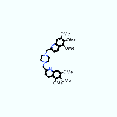 COc1cc2nc(CN3CCN(Cc4ccc5c(OC)c(OC)c(OC)cc5n4)CC3)ccc2c(OC)c1OC